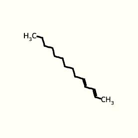 CC=CC=CCCCCCCCCC